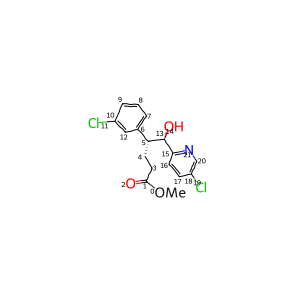 COC(=O)CC[C@H](c1cccc(Cl)c1)[C@@H](O)c1ccc(Cl)cn1